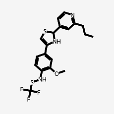 CCCc1cc(C2NC(c3ccc(NSC(F)(F)F)c(OC)c3)=CS2)ccn1